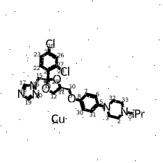 CC(C)N1CCN(c2ccc(OC[C@H]3CO[C@](Cn4cncn4)(c4ccc(Cl)cc4Cl)O3)cc2)CC1.[Cu]